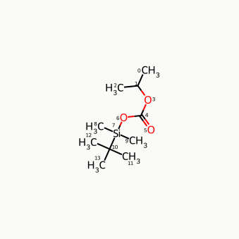 CC(C)OC(=O)O[Si](C)(C)C(C)(C)C